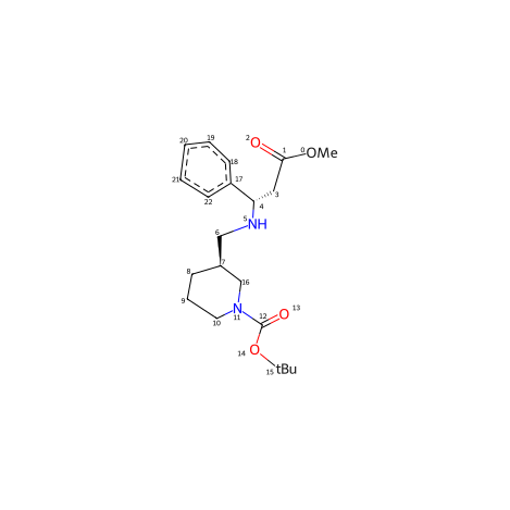 COC(=O)C[C@H](NC[C@@H]1CCCN(C(=O)OC(C)(C)C)C1)c1ccccc1